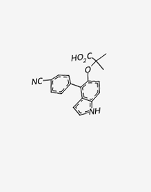 CC(C)(Oc1ccc2[nH]ccc2c1-c1ccc(C#N)cc1)C(=O)O